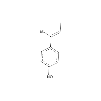 C/C=C(\CC)c1ccc(N=O)cc1